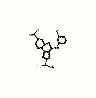 CC(C)c1cn2c(Nc3cccc(Cl)c3)nc3cc(C(=O)O)ccc3c2n1